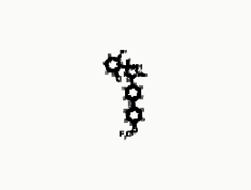 CN1NC(C)(c2c(F)cccc2Cl)N=C1c1ccc(-c2ccc(OC(F)(F)F)cc2)cc1